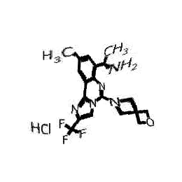 Cc1cc(C(C)N)c2nc(N3CC4(COC4)C3)n3cc(C(F)(F)F)nc3c2c1.Cl